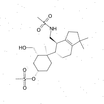 CC1(C)CCC2=C1CC[C@H]([C@@]1(C)CC[C@H](OS(C)(=O)=O)C[C@@H]1CO)[C@H]2CNS(C)(=O)=O